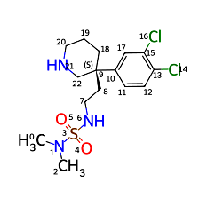 CN(C)S(=O)(=O)NCC[C@]1(c2ccc(Cl)c(Cl)c2)CCCNC1